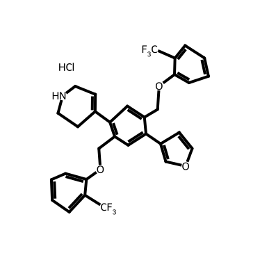 Cl.FC(F)(F)c1ccccc1OCc1cc(-c2ccoc2)c(COc2ccccc2C(F)(F)F)cc1C1=CCNCC1